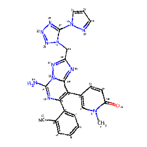 Cn1cc(-c2c(-c3ccccc3C#N)nc(N)n3nc(Cn4nnnc4-n4cccn4)nc23)ccc1=O